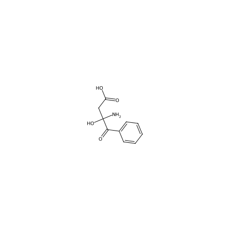 NC(O)(CC(=O)O)C(=O)c1ccccc1